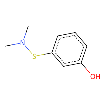 CN(C)Sc1cccc(O)c1